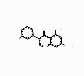 COc1cc(O)cc2occ(-c3cccc(O)c3)c(=O)c12